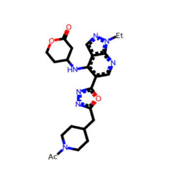 CCn1ncc2c(NC3CCOC(=O)C3)c(-c3nnc(CC4CCN(C(C)=O)CC4)o3)cnc21